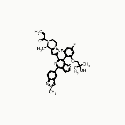 C=CC(=O)N1CCn2nc(-c3nc(-c4ccc5nn(C)cc5c4)c4ccsc4c3-c3c(F)cc(F)cc3OCC(C)(C)O)cc2[C@H]1C